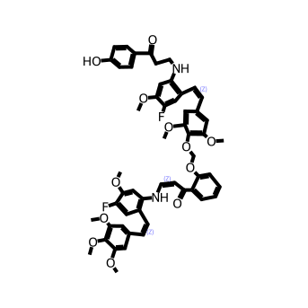 COc1cc(N/C=C\C(=O)c2ccccc2OCOc2c(OC)cc(/C=C\c3cc(F)c(OC)cc3NCCC(=O)c3ccc(O)cc3)cc2OC)c(/C=C\c2cc(OC)c(OC)c(OC)c2)cc1F